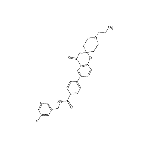 CCCN1CCC2(CC1)CC(=O)c1cc(-c3ccc(C(=O)NCc4cncc(F)c4)cc3)ccc1O2